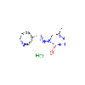 CC1=NNC(=O)N(/N=C/c2cccnc2)C1.Cl